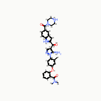 Cc1cc(Oc2ccccc2C(=O)N(C)C)ccc1-n1ncc(C(=O)c2cc3cc(C(=O)N4CCNCC4)ccc3[nH]2)c1N